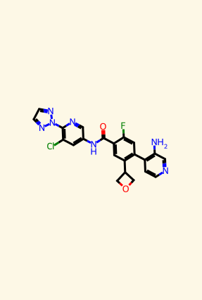 Nc1cnccc1-c1cc(F)c(C(=O)Nc2cnc(-n3nccn3)c(Cl)c2)cc1C1COC1